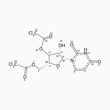 O=C(OC[C@H]1O[C@@H](n2ccc(=O)[nH]c2=O)[C@@H](O)C1OC(=O)C(Cl)(Cl)Cl)C(Cl)(Cl)Cl